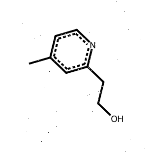 Cc1ccnc(CCO)c1